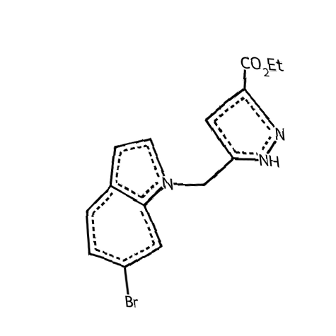 CCOC(=O)c1cc(Cn2ccc3ccc(Br)cc32)[nH]n1